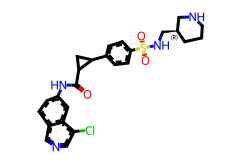 O=C(Nc1ccc2cncc(Cl)c2c1)C1CC1c1ccc(S(=O)(=O)NC[C@@H]2CCCNC2)cc1